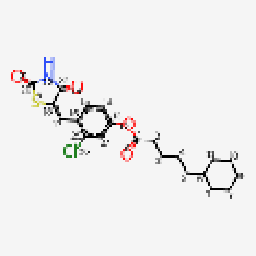 O=C(CCCCC1CCCCC1)Oc1ccc(C=C2SC(=O)NC2=O)c(Cl)c1